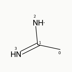 CC([NH])=N